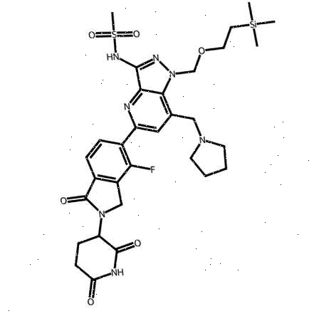 C[Si](C)(C)CCOCn1nc(NS(C)(=O)=O)c2nc(-c3ccc4c(c3F)CN(C3CCC(=O)NC3=O)C4=O)cc(CN3CCCC3)c21